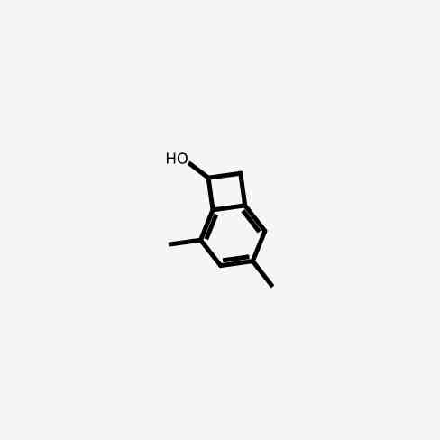 Cc1cc(C)c2c(c1)CC2O